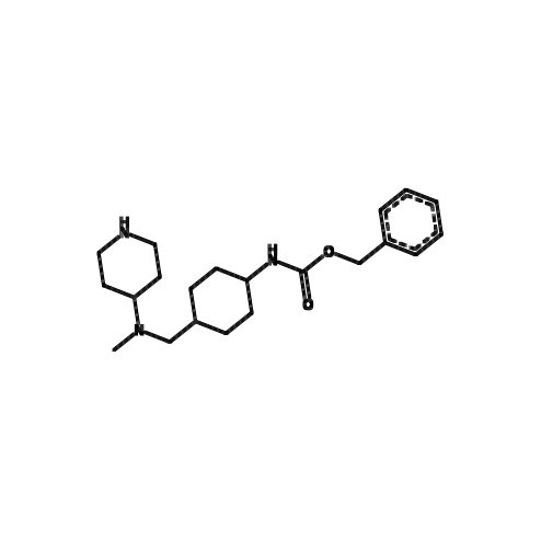 CN(CC1CCC(NC(=O)OCc2ccccc2)CC1)C1CCNCC1